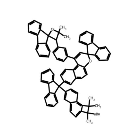 CCCCC1(C)c2ccc3cc(C4(c5ccc6c7c(ccc6c5)OC5(C=C7c6cccc(C7C(C)(C)OC78c7ccccc7-c7ccccc78)c6)c6ccccc6-c6ccccc65)c5ccccc5-c5ccccc54)ccc3c2C1(C)C